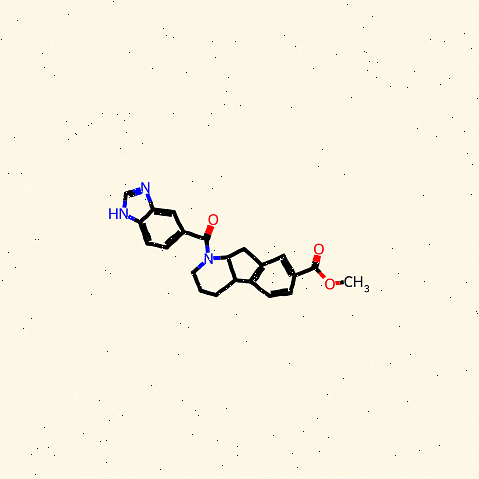 COC(=O)c1ccc2c(c1)CC1C2CCCN1C(=O)c1ccc2[nH]cnc2c1